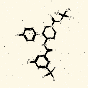 CC(C)(C)OC(=O)N1CCC(NC(=O)c2cc(Br)cc(C(F)(F)F)c2)[C@H](c2ccc(F)cc2)C1